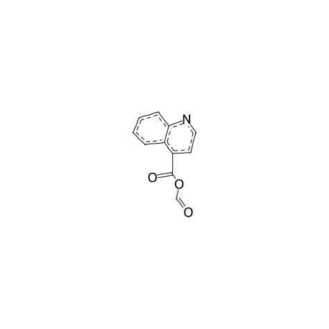 O=COC(=O)c1ccnc2ccccc12